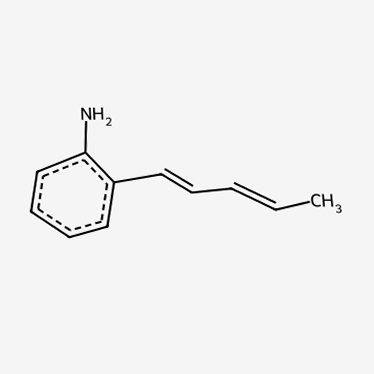 CC=CC=Cc1ccccc1N